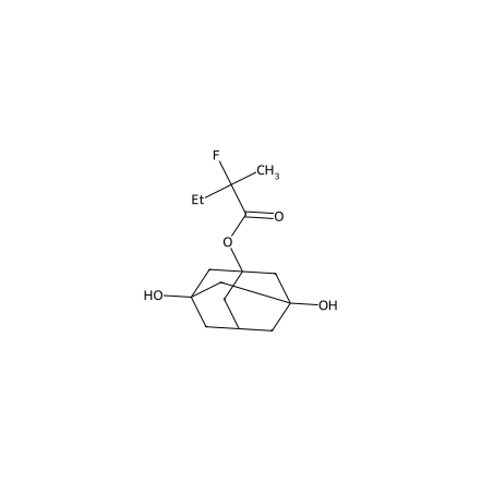 CCC(C)(F)C(=O)OC12CC3CC(O)(CC(O)(C3)C1)C2